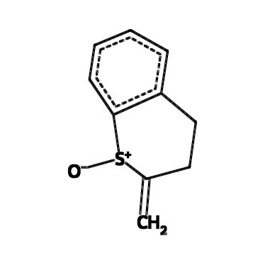 C=C1CCc2ccccc2[S+]1[O-]